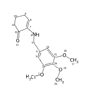 COc1cc(CNC2=CCCCC2=O)cc(OC)c1OC